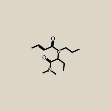 CC=CC(=O)N(CCC)C(CC)C(=O)N(C)C